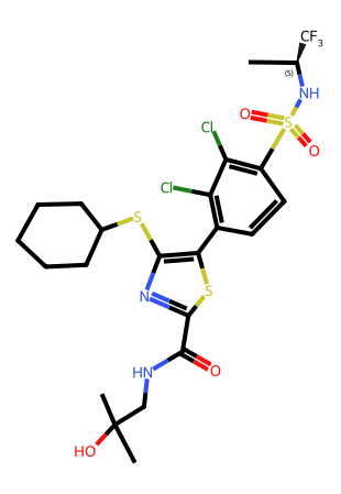 C[C@H](NS(=O)(=O)c1ccc(-c2sc(C(=O)NCC(C)(C)O)nc2SC2CCCCC2)c(Cl)c1Cl)C(F)(F)F